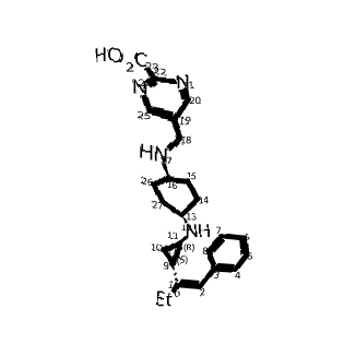 CCC(=Cc1ccccc1)[C@@H]1C[C@H]1N[C@H]1CC[C@H](NCc2cnc(C(=O)O)nc2)CC1